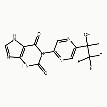 CC(O)(c1cnc(-n2c(=O)[nH]c3nc[nH]c3c2=O)cn1)C(F)(F)F